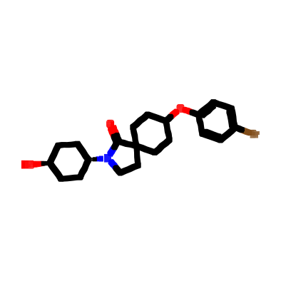 O=C1N([C@H]2CC[C@H](O)CC2)CCC12CCC(Oc1ccc(Br)cc1)CC2